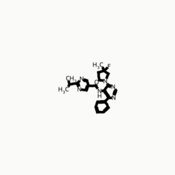 CC(C)c1ncc(C(=O)Nc2c(-c3ccccc3)ncnc2N2CCC(C)(F)C2)cn1